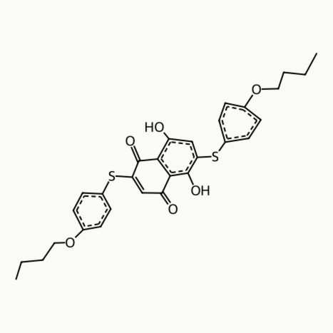 CCCCOc1ccc(SC2=CC(=O)c3c(O)c(Sc4ccc(OCCCC)cc4)cc(O)c3C2=O)cc1